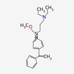 C=C(c1ccccc1)c1ccc([SiH](CCCN(CC)CC)COC)cc1